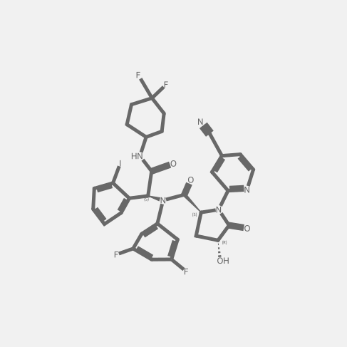 N#Cc1ccnc(N2C(=O)[C@H](O)C[C@H]2C(=O)N(c2cc(F)cc(F)c2)[C@H](C(=O)NC2CCC(F)(F)CC2)c2ccccc2I)c1